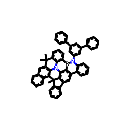 CC1(C)c2cccc3c2N2c4c5c(cc6c4C(C)(c4ccccc4-6)c4c2c1cc1ccccc41)-c1ccccc1N(c1cc(-c2ccccc2)cc(-c2ccccc2)c1)B35